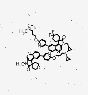 CN(C)CCCOc1ccc(-c2ccc3ncc4c(c3c2)C2(CCC(F)(F)CC2)C(=O)N4CC2CC2N(CCCOc2ccc(-c3ccc4ncc5c(c4c3)C3(CCOCC3)C(=O)N5C)cn2)C2CC2)cn1